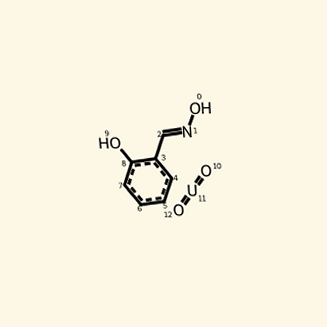 ON=Cc1ccccc1O.[O]=[U]=[O]